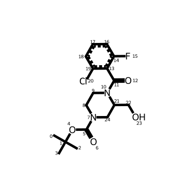 CC(C)(C)OC(=O)N1CCN(C(=O)c2c(F)cccc2Cl)C(CO)C1